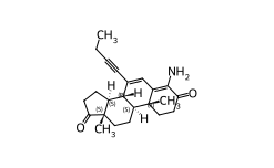 CCC#CC1=CC2=C(N)C(=O)CC[C@]2(C)[C@H]2CC[C@]3(C)C(=O)CC[C@H]3[C@H]12